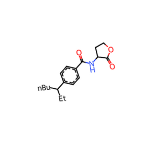 CCCCC(CC)c1ccc(C(=O)NC2CCOC2=O)cc1